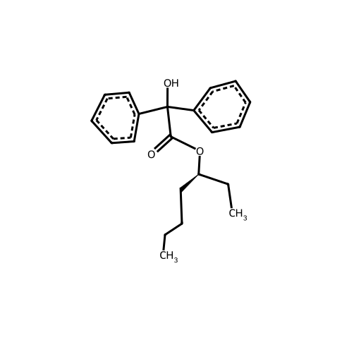 CCCC[C@H](CC)OC(=O)C(O)(c1ccccc1)c1ccccc1